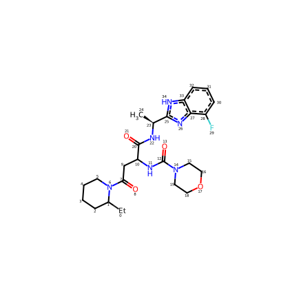 CCC1CCCCN1C(=O)CC(NC(=O)N1CCOCC1)C(=O)N[C@@H](C)c1nc2c(F)cccc2[nH]1